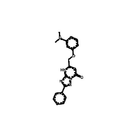 CN(C)c1cccc(OCc2cc(=O)n3nc(-c4ccccc4)nc3[nH]2)c1